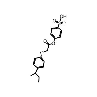 CCC(C)c1ccc(OCC(=O)Oc2ccc(S(=O)(=O)O)cc2)cc1